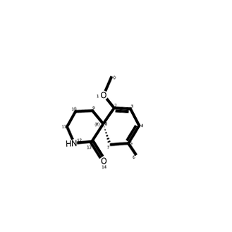 COC1=CC=C(C)C[C@]12CCCNC2=O